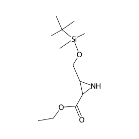 CCOC(=O)C1NC1CO[Si](C)(C)C(C)(C)C